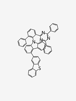 c1ccc(-c2nc(-c3ccccc3)nc(-c3cccc(-c4ccccc4)c3-n3c4ccccc4c4c(-c5ccc6sc7ccccc7c6c5)cccc43)n2)cc1